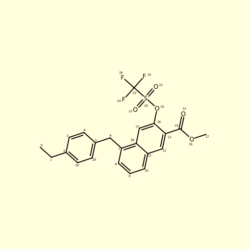 CCc1ccc(Cc2cccc3cc(C(=O)OC)c(OS(=O)(=O)C(F)(F)F)cc23)cc1